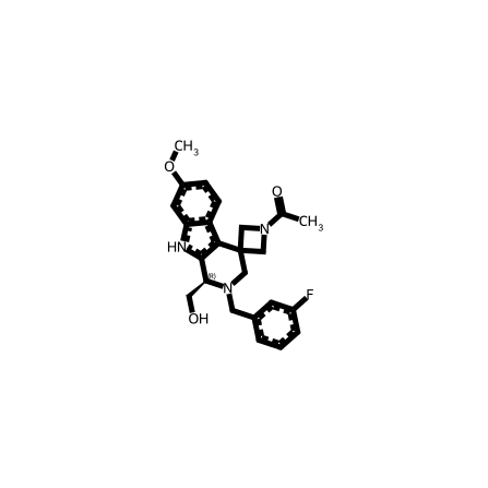 COc1ccc2c3c([nH]c2c1)[C@H](CO)N(Cc1cccc(F)c1)CC31CN(C(C)=O)C1